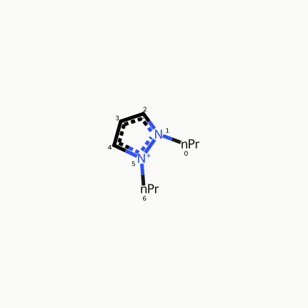 CCCn1ccc[n+]1CCC